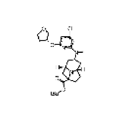 CN(c1nc(Cl)cc(O[C@@H]2CCOC2)n1)[C@H]1C[C@@H]2CCC3(C(=O)OC(C)(C)C)C[C@H](C1)N23